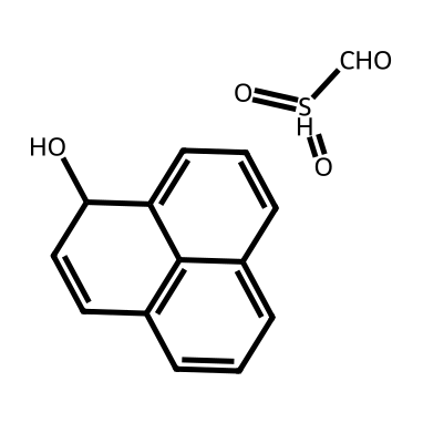 O=C[SH](=O)=O.OC1C=Cc2cccc3cccc1c23